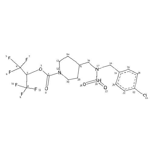 O=C(OC(C(F)(F)F)C(F)(F)F)N1CCC(CN(Cc2ccc(Cl)cc2)[SH](=O)=O)CC1